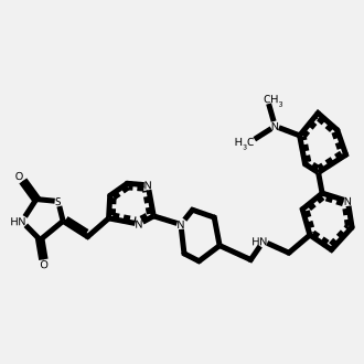 CN(C)c1cccc(-c2cc(CNCC3CCN(c4nccc(/C=C5\SC(=O)NC5=O)n4)CC3)ccn2)c1